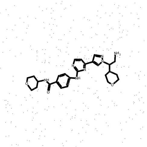 NCC(C1CCOCC1)n1cc(-c2ccnc(Nc3ccc(C(=O)NC4CCOCC4)cc3)n2)cn1